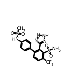 CS(=O)(=O)Nc1ccc(-c2ccc(C(F)(F)F)c(S(N)(=O)=O)c2-c2nn[nH]n2)cc1